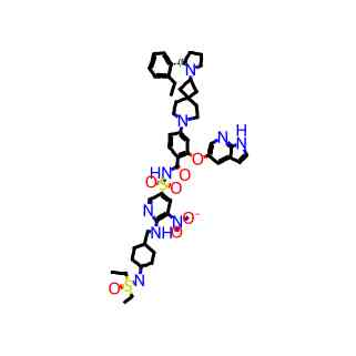 CCc1ccccc1[C@@H]1CCCN1C1CC2(CCN(c3ccc(C(=O)NS(=O)(=O)c4cnc(NCC5CCC(N=S(=O)(CC)CC)CC5)c([N+](=O)[O-])c4)c(Oc4cnc5[nH]ccc5c4)c3)CC2)C1